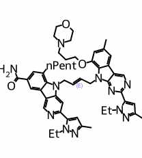 CCCCCc1cc(C(N)=O)cc2c3cnc(-c4cc(C)nn4CC)cc3n(C/C=C/Cn3c4nc(-c5cc(C)nn5CC)ncc4c4cc(C)cc(OCCCN5CCOCC5)c43)c12